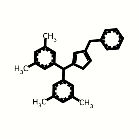 Cc1cc(C)cc(C(C2=CC(Cc3ccccc3)=CC2)c2cc(C)cc(C)c2)c1